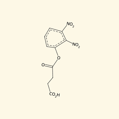 O=C(O)CCC(=O)Oc1cccc([N+](=O)[O-])c1[N+](=O)[O-]